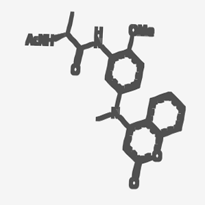 COc1ccc(N(C)c2cc(=O)oc3ccccc23)cc1NC(=O)[C@H](C)NC(C)=O